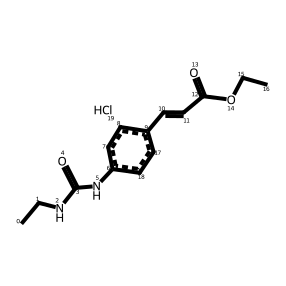 CCNC(=O)Nc1ccc(C=CC(=O)OCC)cc1.Cl